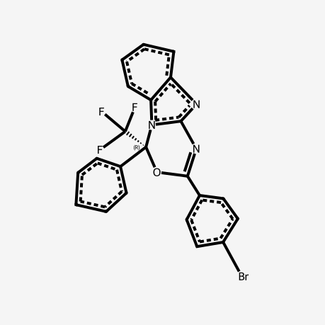 FC(F)(F)[C@@]1(c2ccccc2)OC(c2ccc(Br)cc2)=Nc2nc3ccccc3n21